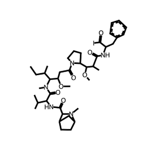 CCC(C)C(C(CC(=O)N1CCCC1C(OC)C(C)C(=O)NC(Cc1ccccc1)C(=O)I)OC)N(C)C(=O)C(NC(=O)C1C2CCC(C2)N1C)C(C)C